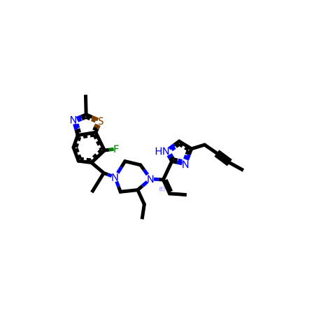 CC#CCc1c[nH]c(/C(=C\C)N2CCN(C(C)c3ccc4nc(C)sc4c3F)CC2CC)n1